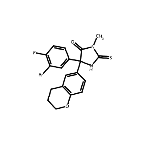 CN1C(=O)C(c2ccc(F)c(Br)c2)(c2ccc3c(c2)CCCO3)NC1=S